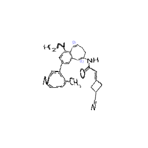 Cc1ccncc1-c1cc(N)c2c(c1)/C=C(/NC(=O)C=C1CC(C#N)C1)CC/C=C\2